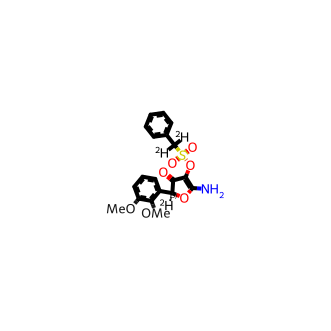 [2H]C([2H])(c1ccccc1)S(=O)(=O)OC1=C(N)O[C@@]([2H])(c2cccc(OC)c2OC)C1=O